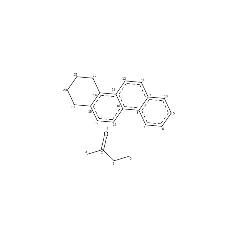 CCC(C)=O.c1ccc2c(c1)ccc1c3c(ccc12)CCCC3